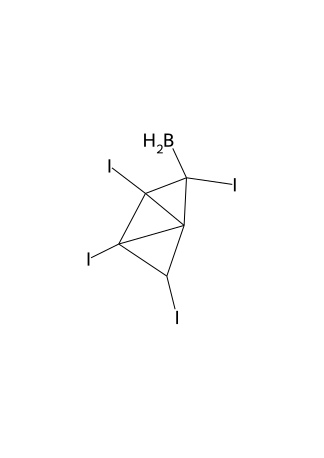 BC1(I)C2(I)C3(I)C(I)C132